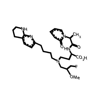 COC(CF)CN(CCCCc1ccc2c(n1)NCCC2)CCC(NC(=O)C(C)n1ccccc1=O)C(=O)O